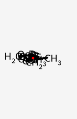 C=C(CO)C(=O)OCC(COCC(F)(F)C(F)(F)C(F)(F)C(F)(F)C(F)(F)C(F)(F)CCCCCCC)COC(=O)C(=C)COC